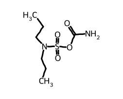 CCCN(CCC)S(=O)(=O)OC(N)=O